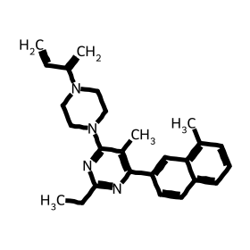 C=CC(=C)N1CCN(c2nc(CC)nc(-c3ccc4cccc(C)c4c3)c2C)CC1